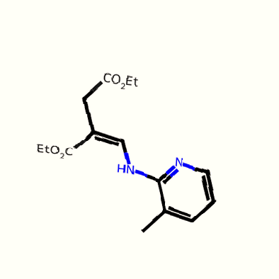 CCOC(=O)C/C(=C/Nc1ncccc1C)C(=O)OCC